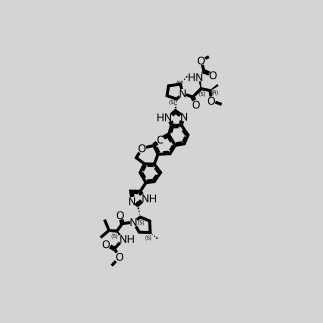 COC(=O)N[C@H](C(=O)N1C[C@@H](C)C[C@H]1c1ncc(-c2ccc3c(c2)COc2cc4c(ccc5nc([C@@H]6CC[C@H](C)N6C(=O)[C@@H](NC(=O)OC)[C@@H](C)OC)[nH]c54)cc2-3)[nH]1)C(C)C